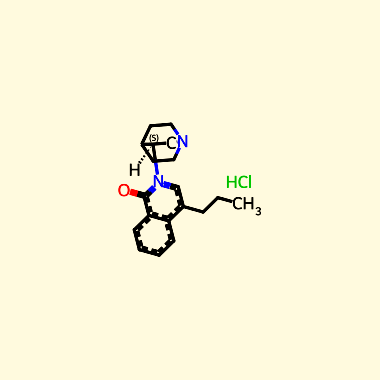 CCCc1cn([C@@H]2CN3CCC2CC3)c(=O)c2ccccc12.Cl